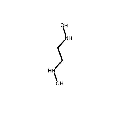 ONCCNO